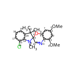 COc1cc(OC)c2c(c1)OC1(C=N2)N(C)c2c(Cl)cccc2C1(C)C